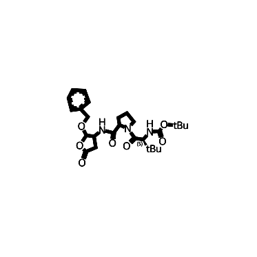 CC(C)(C)OC(=O)N[C@H](C(=O)N1CCCC1C(=O)NC1CC(=O)OC1OCc1ccccc1)C(C)(C)C